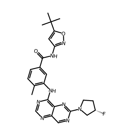 Cc1ccc(C(=O)Nc2cc(C(C)(C)C)on2)cc1Nc1ncnc2cnc(N3CC[C@H](F)C3)nc12